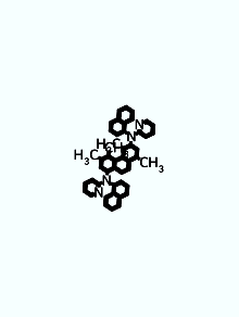 Cc1cc(N(c2ccccn2)c2cccc3ccccc23)c2ccc3c(C)cc(N(c4ccccn4)c4cccc5ccccc45)c(C)c3c2c1C